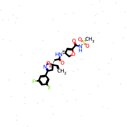 C=C[C@@]1(CC(=O)N[C@@H]2C=C(C(=O)NS(C)(=O)=O)OC2)CC(c2cc(F)cc(F)c2)=NO1